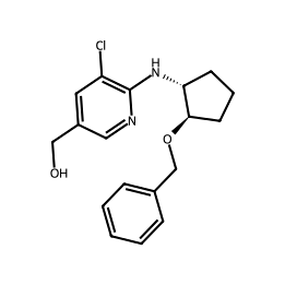 OCc1cnc(N[C@@H]2CCC[C@H]2OCc2ccccc2)c(Cl)c1